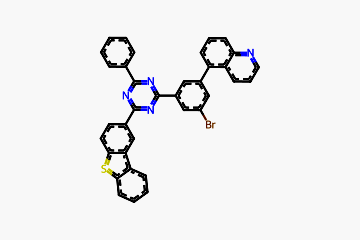 Brc1cc(-c2nc(-c3ccccc3)nc(-c3ccc4sc5ccccc5c4c3)n2)cc(-c2cccc3ncccc23)c1